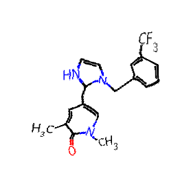 Cc1cc(C2NC=CN2Cc2cccc(C(F)(F)F)c2)cn(C)c1=O